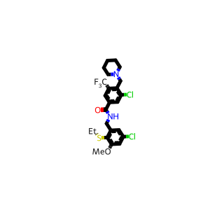 CCSc1c(CNC(=O)c2cc(Cl)c(CN3CCCCC3)c(C(F)(F)F)c2)cc(Cl)cc1OC